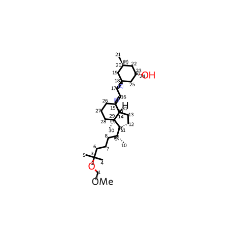 COCOC(C)(C)CCC[C@@H](C)[C@H]1CC[C@H]2/C(=C/C=C3/C[C@@H](C)C[C@H](O)C3)CCC[C@]12C